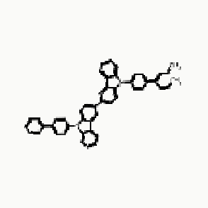 C=C/C=C(\C=C/C)c1ccc(-n2c3ccccc3c3cc(-c4ccc5c(c4)c4ccccc4n5-c4ccc(-c5ccccc5)cc4)ccc32)cc1